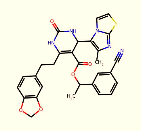 Cc1nc2sccn2c1C1NC(=O)NC(CCc2ccc3c(c2)OCO3)=C1C(=O)OC(C)c1cccc(C#N)c1